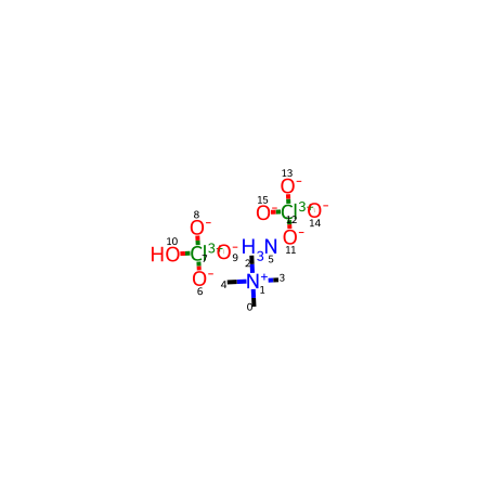 C[N+](C)(C)C.N.[O-][Cl+3]([O-])([O-])O.[O-][Cl+3]([O-])([O-])[O-]